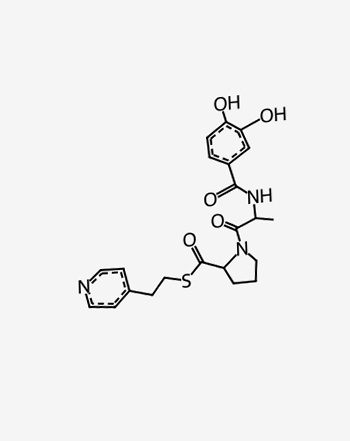 CC(NC(=O)c1ccc(O)c(O)c1)C(=O)N1CCCC1C(=O)SCCc1ccncc1